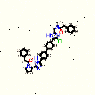 CCCN(Cc1nc(Cl)c(-c2ccc(-c3ccc(-c4cnc([C@H]5CCCN5C(=O)Cc5ccccc5)[nH]4)cc3)cc2)[nH]1)C(=O)Cc1ccccc1